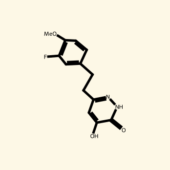 COc1ccc(CCc2cc(O)c(=O)[nH]n2)cc1F